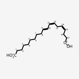 O=C(O)CCCCCCCC/C=C/C=C\C/C=C\CCOO